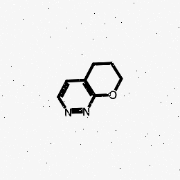 c1cc2c(nn1)OCCC2